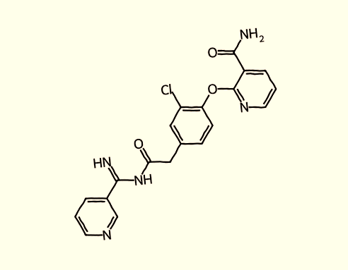 N=C(NC(=O)Cc1ccc(Oc2ncccc2C(N)=O)c(Cl)c1)c1cccnc1